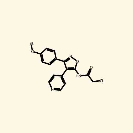 CCOc1ccc(-c2noc(NC(=O)CCl)c2-c2ccncc2)cc1